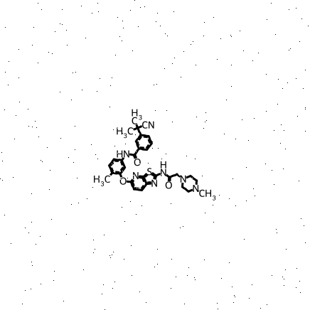 Cc1ccc(NC(=O)c2cccc(C(C)(C)C#N)c2)cc1Oc1ccc2nc(NC(=O)CN3CCN(C)CC3)sc2n1